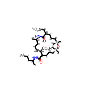 CC(C)CCC(C)NC(=O)C(CCC[Si](C)(C)O[Si](C)(C)CCCC(CC(=O)O)C(=O)NC(C)CCC(C)C)CC(=O)O